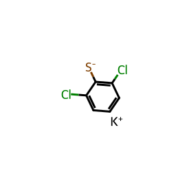 [K+].[S-]c1c(Cl)cccc1Cl